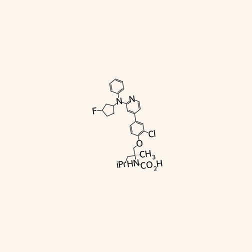 CC(C)C[C@@](C)(COc1ccc(-c2ccnc(N(c3ccccc3)C3CCC(F)C3)c2)cc1Cl)NC(=O)O